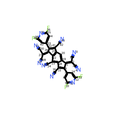 N#CC(C#N)=C1C(c2cc(F)nc(F)c2)=C(C#N)c2c1cc1c(c2C#N)C(=C(C#N)C#N)C(c2cc(F)nc(F)c2)=C1C#N